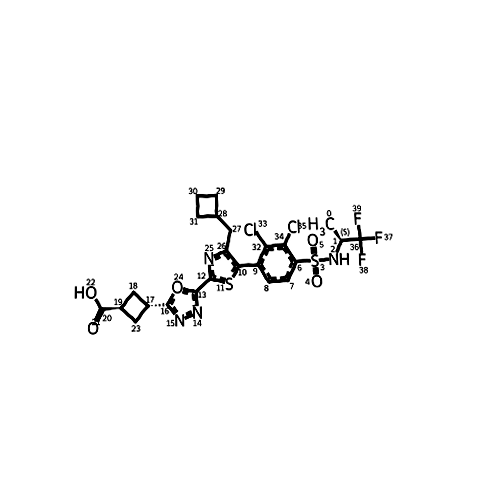 C[C@H](NS(=O)(=O)c1ccc(-c2sc(-c3nnc([C@H]4C[C@H](C(=O)O)C4)o3)nc2CC2CCC2)c(Cl)c1Cl)C(F)(F)F